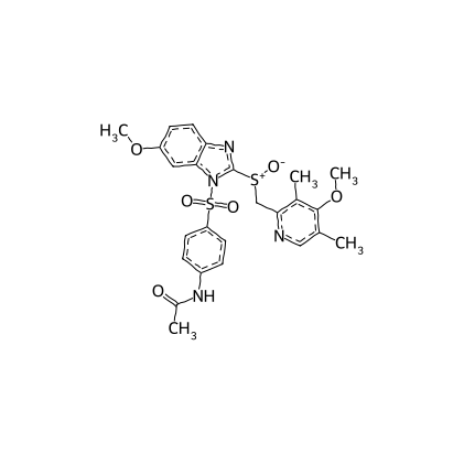 COc1ccc2nc([S+]([O-])Cc3ncc(C)c(OC)c3C)n(S(=O)(=O)c3ccc(NC(C)=O)cc3)c2c1